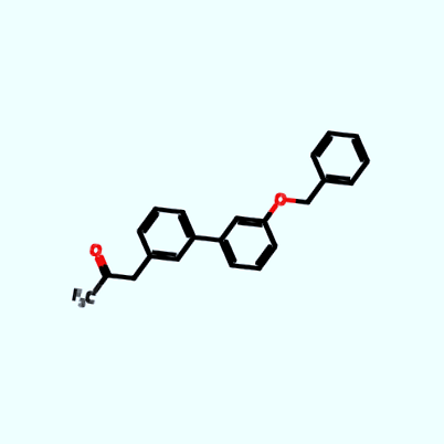 O=C(Cc1cccc(-c2cccc(OCc3ccccc3)c2)c1)C(F)(F)F